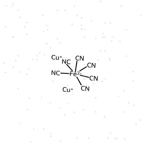 N#[C][Fe-2]([C]#N)([C]#N)([C]#N)([C]#N)[C]#N.[Cu+].[Cu+]